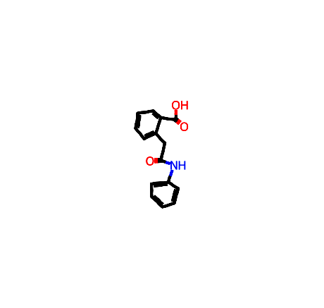 O=C(Cc1ccccc1C(=O)O)Nc1ccccc1